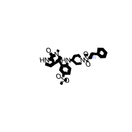 Cn1cc(-c2cc(S(C)(=O)=O)ccc2NC2CCN(S(=O)(=O)/C=C/c3ccccc3)CC2)c2cc[nH]c2c1=O